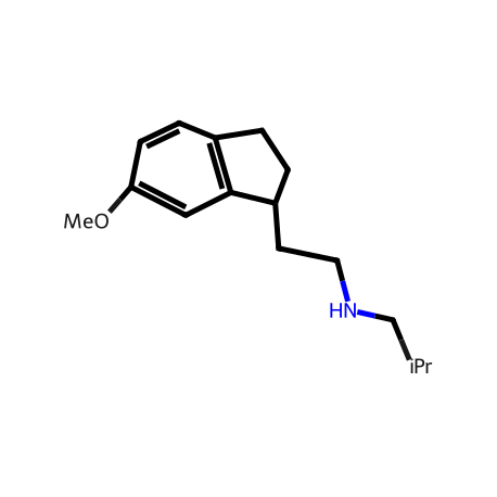 COc1ccc2c(c1)C(CCNCC(C)C)CC2